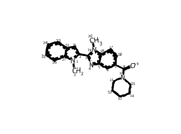 Cn1c(-c2nc3cc(C(=O)N4CCCCC4)ccc3n2C)cc2ccccc21